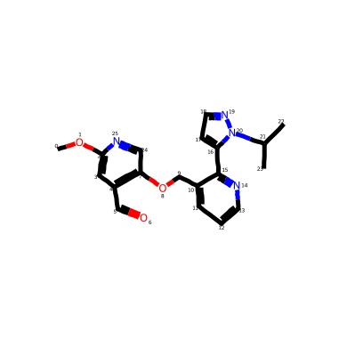 COc1cc(C=O)c(OCc2cccnc2-c2ccnn2C(C)C)cn1